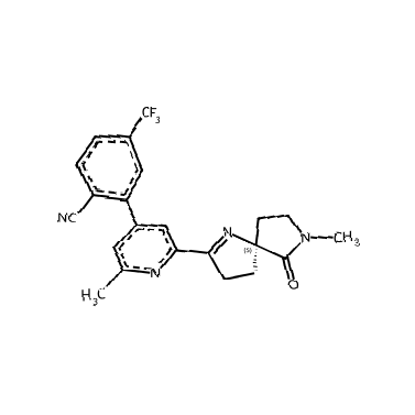 Cc1cc(-c2cc(C(F)(F)F)ccc2C#N)cc(C2=N[C@@]3(CC2)CCN(C)C3=O)n1